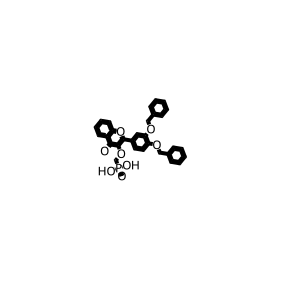 O=c1c(OCP(=O)(O)O)c(-c2ccc(OCc3ccccc3)c(OCc3ccccc3)c2)oc2ccccc12